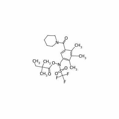 CCC(C)(C)C(=O)ON(c1cc(C(=O)N2CCCCC2)c(C)c(C)c1C)S(=O)(=O)C(F)(F)F